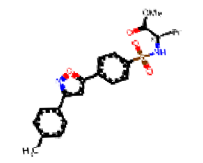 COC(=O)[C@H](NS(=O)(=O)c1ccc(-c2cc(-c3ccc(C)cc3)no2)cc1)C(C)C